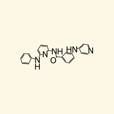 O=C(Nc1cccc(Nc2ccccc2)n1)c1cccc(Nc2ccncc2)c1